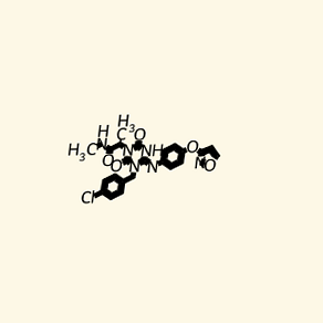 CNC(=O)[C@H](C)n1c(=O)[nH]/c(=N\c2ccc(Oc3ccon3)cc2)n(Cc2ccc(Cl)cc2)c1=O